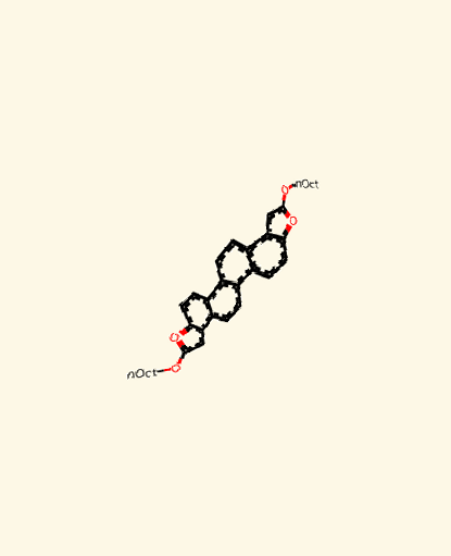 CCCCCCCCOc1cc2c(ccc3c2ccc2c4ccc5oc(OCCCCCCCC)cc5c4ccc32)o1